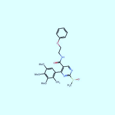 COc1cc(-c2nc([S+](C)[O-])ncc2C(=O)NCCOc2ccccc2)c(C)c(OC)c1OC